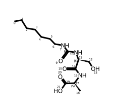 CCCCCCCNC(=O)N[C@@H](CO)C(=O)N[C@@H](C)C(=O)O